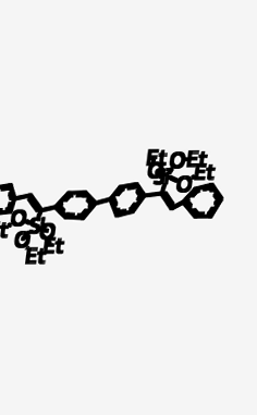 CCO[Si](OCC)(OCC)C(=Cc1ccccc1)c1ccc(-c2ccc(C(=Cc3ccccc3)[Si](OCC)(OCC)OCC)cc2)cc1